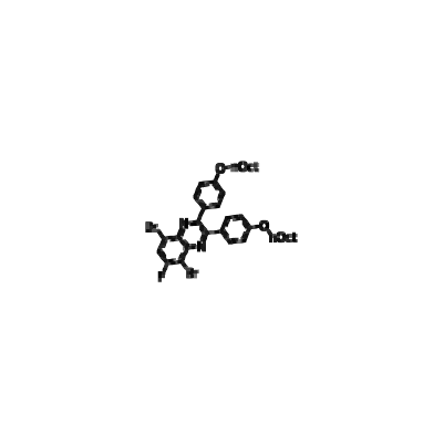 CCCCCCCCOc1ccc(-c2nc3c(Br)cc(F)c(Br)c3nc2-c2ccc(OCCCCCCCC)cc2)cc1